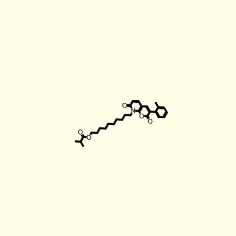 Cc1ccccc1-c1cc2ccc(=O)n(CCCCCCCCCCOC(=O)C(C)C)c2oc1=O